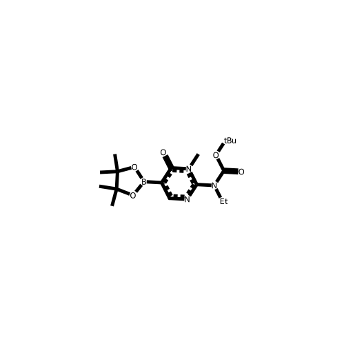 CCN(C(=O)OC(C)(C)C)c1ncc(B2OC(C)(C)C(C)(C)O2)c(=O)n1C